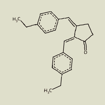 CCc1ccc(C=C2CCC(=O)C2=Cc2ccc(CC)cc2)cc1